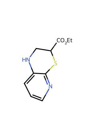 CCOC(=O)C1CNc2cccnc2S1